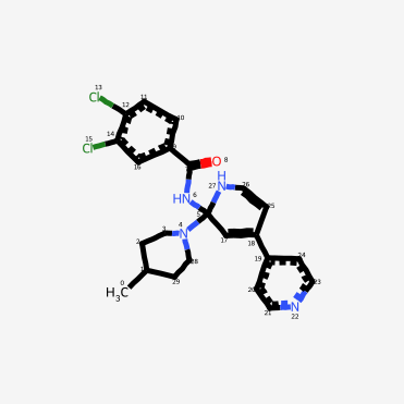 CC1CCN(C2(NC(=O)c3ccc(Cl)c(Cl)c3)C=C(c3ccncc3)C=CN2)CC1